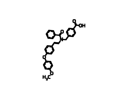 COc1ccc(Oc2ccc(C=CN(Cc3ccc(C(=O)O)cc3)C(=O)c3ccccc3)cc2)cc1